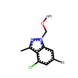 CCCOCn1nc(C)c2c(Cl)cc(CC)cc21